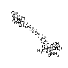 C[C@@H](OCc1ccc(CCCOCCCCOCCCc2cccc3c2n(C)c(=O)n3C2CCC(=O)NC2=O)cc1)[C@H](CCC(N)=O)NC(=O)OC(C)(C)C